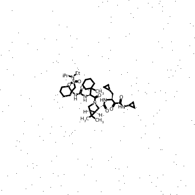 CCN(C(C)C)S(=O)(=O)CC1(NC(=O)N[C@H](C(=O)N2C[C@H]3[C@@H]([C@H]2C(=O)N[C@@H](CC2CC2)C(=O)C(=O)NC2CC2)C3(C)C)C2(C)CCCCC2)CCCCC1